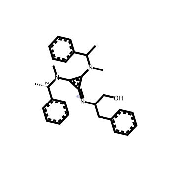 CC(c1ccccc1)N(C)c1c(N(C)[C@@H](C)c2ccccc2)/c1=N/C(CO)Cc1ccccc1